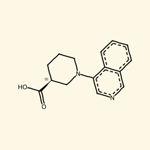 O=C(O)[C@H]1CCCN(c2cncc3ccccc23)C1